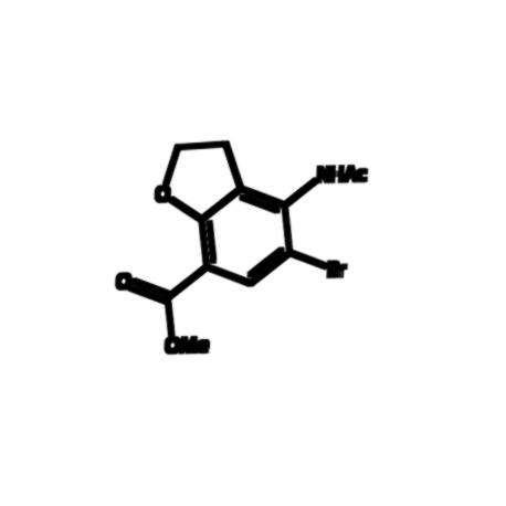 COC(=O)c1cc(Br)c(NC(C)=O)c2c1OCC2